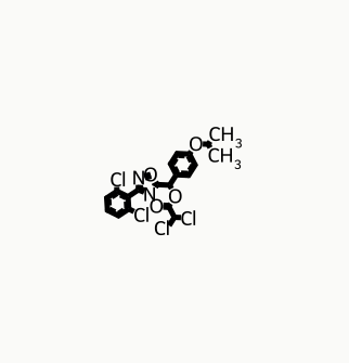 CC(C)Oc1ccc(C(OC(=O)C(Cl)Cl)c2nc(-c3c(Cl)cccc3Cl)no2)cc1